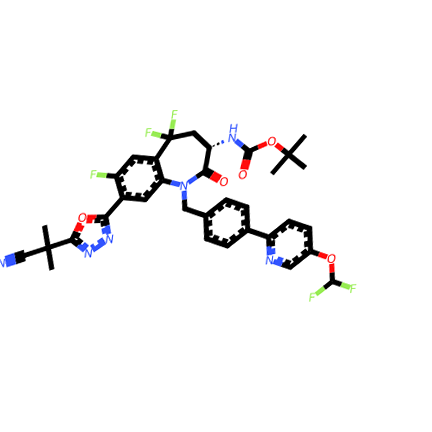 CC(C)(C)OC(=O)N[C@H]1CC(F)(F)c2cc(F)c(-c3nnc(C(C)(C)C#N)o3)cc2N(Cc2ccc(-c3ccc(OC(F)F)cn3)cc2)C1=O